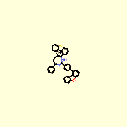 C/C1=C(\c2cccc3sc4ccccc4c23)NC(c2ccc(-c3cccc4oc5ccccc5c34)cc2)/N=C(/c2ccccc2)CC1